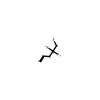 C=CCC(F)(F)CF